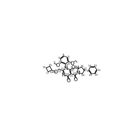 COc1cccc(OC)c1-n1c(COC2CCC2)nc(=O)c(C(=O)N2CC[C@H](c3ccccc3)C2)c1O